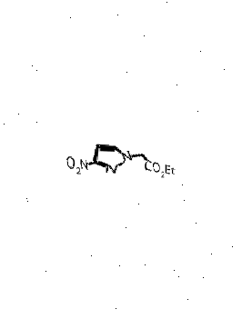 CCOC(=O)Cn1ccc([N+](=O)[O-])n1